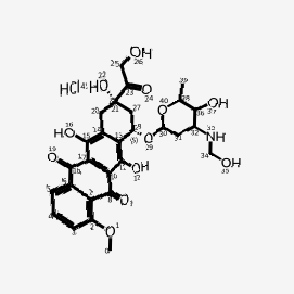 COc1cccc2c1C(=O)c1c(O)c3c(c(O)c1C2=O)C[C@@](O)(C(=O)CO)C[C@@H]3OC1CC(NCO)C(O)C(C)O1.Cl